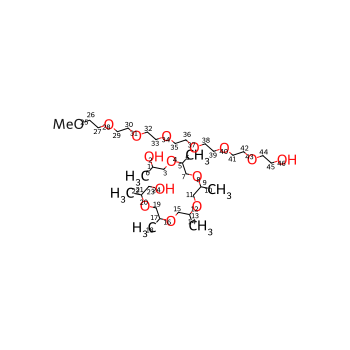 CC(O)COC(C)COC(C)COC(C)COC(C)COC(C)CO.COCCOCCOCCOCCOCCOCCOCCO